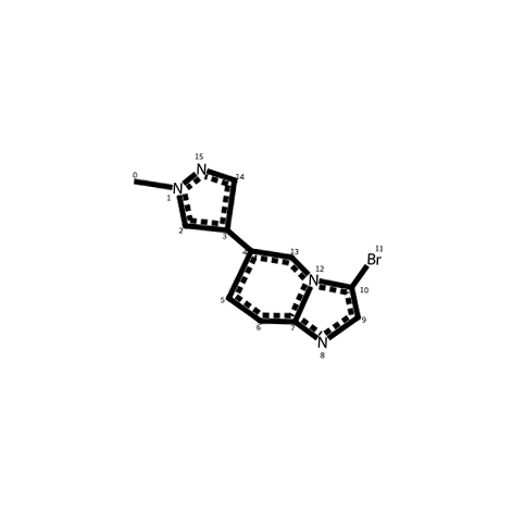 Cn1cc(-c2ccc3ncc(Br)n3c2)cn1